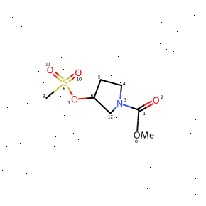 COC(=O)N1CCC(OS(C)(=O)=O)C1